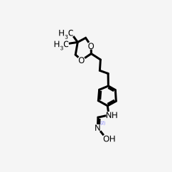 CC1(C)COC(CCCc2ccc(N/C=N\O)cc2)OC1